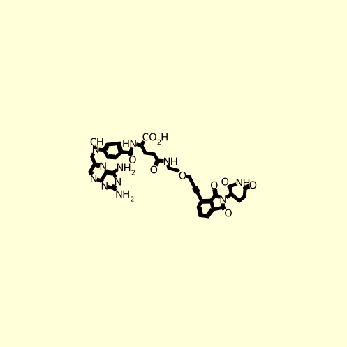 CN(Cc1cnc2nc(N)nc(N)c2n1)c1ccc(C(=O)NC(CCC(=O)NCCOCC#Cc2cccc3c2C(=O)N(C2CCC(=O)NC2=O)C3=O)C(=O)O)cc1